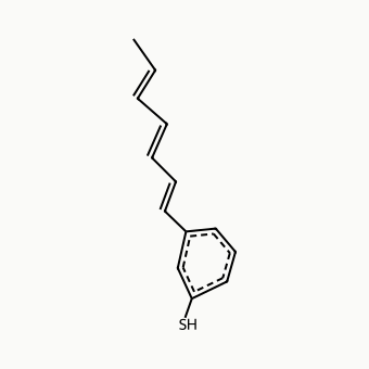 CC=CC=CC=Cc1cccc(S)c1